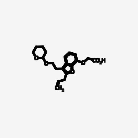 C=CCc1oc2c(OCC(=O)O)cccc2c1CCOC1CCCCO1